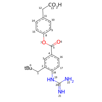 CC(C)(C)Cc1cc(C(=O)Oc2ccc(CC(=O)O)cc2)ccc1NC(=N)N